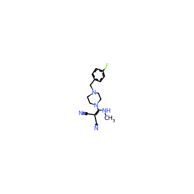 CNC(=C(C#N)C#N)N1CCN(Cc2ccc(F)cc2)CC1